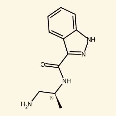 C[C@@H](CN)NC(=O)c1n[nH]c2ccccc12